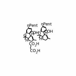 CCCCCc1cc(O)c2c(c1)OC(C)(C)[C@@H]1CCC(C)=C[C@@H]21.CCCCCc1cc(O)c2c(c1)OC(C)(C)[C@@H]1CCC(C)=C[C@@H]21.O=C(O)CCC(=O)O